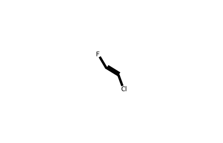 FC=CCl